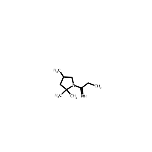 CCC(=N)N1CC(C)CC1(C)C